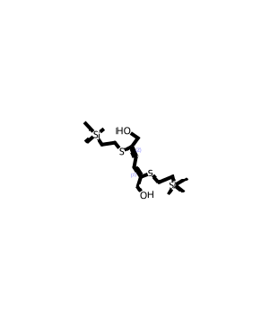 C[Si](C)(C)CCS/C(=C\C=C(\CO)SCC[Si](C)(C)C)CO